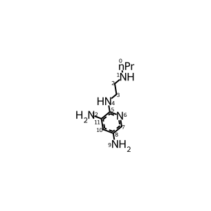 CCCNCCNc1ncc(N)cc1N